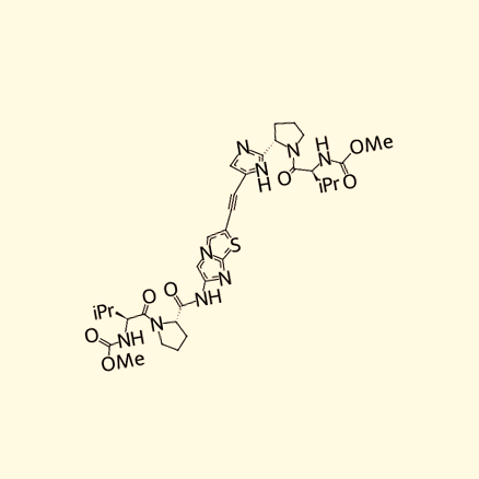 COC(=O)N[C@H](C(=O)N1CCC[C@H]1C(=O)Nc1cn2cc(C#Cc3cnc([C@@H]4CCCN4C(=O)[C@@H](NC(=O)OC)C(C)C)[nH]3)sc2n1)C(C)C